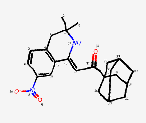 CC1(C)Cc2ccc([N+](=O)[O-])cc2C(=CC(=O)C23CC4CC(CC(C4)C2)C3)N1